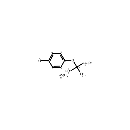 CCOC(=O)C(C)(C)Oc1ccc(Cl)cc1.[MgH2]